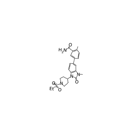 CCS(=O)(=O)N1CCC(n2c(=O)n(C)c3cc(-c4ccc(C)c(C(N)=O)c4)ccc32)CC1